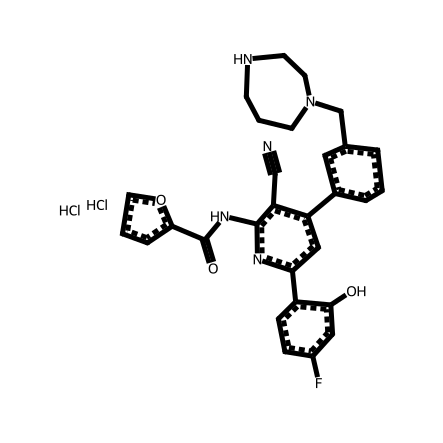 Cl.Cl.N#Cc1c(-c2cccc(CN3CCCNCC3)c2)cc(-c2ccc(F)cc2O)nc1NC(=O)c1ccco1